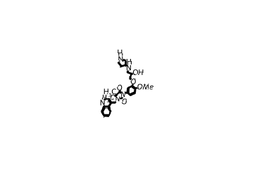 COc1ccc(N2C(=O)N(Cc3ccnc4ccccc34)C(C)(C)C2=O)cc1OCC(O)CNC1CCNC1